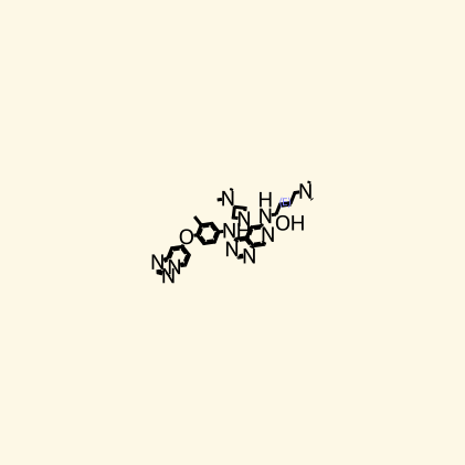 Cc1cc(Nc2ncnc3cnc(NC(O)/C=C/CN(C)C)c(N4CC(N(C)C)C4)c23)ccc1Oc1ccn2ncnc2c1